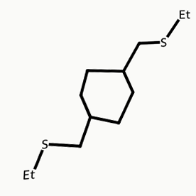 CCSCC1CCC(CSCC)CC1